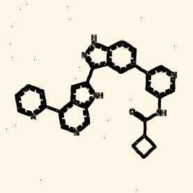 O=C(Nc1cncc(-c2ccc3[nH]nc(-c4cc5c(-c6ccccn6)cncc5[nH]4)c3c2)c1)C1CCC1